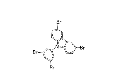 Brc1cc(Br)cc(-n2c3ccc(Br)cc3c3cc(Br)ccc32)c1